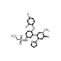 CCS(=O)(=O)Nc1ccc(Oc2ccc(F)cc2F)c(-c2cn(C)c(=O)cc2-c2ccco2)c1